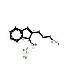 CCCCC1=Cc2ccccc2[CH]1[Zr+3].[F-].[F-].[F-]